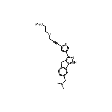 COCCOCC#Cc1cc(-c2n[nH]c3c2Cc2ccc(CN(C)C)cc2-3)cs1